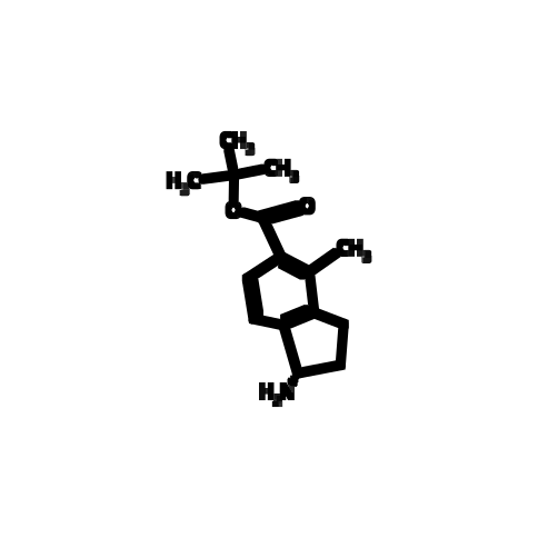 Cc1c(C(=O)OC(C)(C)C)ccc2c1CC[C@@H]2N